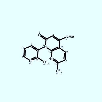 CNc1cc(=O)n(-c2cccnc2C(F)(F)F)c2nc(C(F)(F)F)ccc12